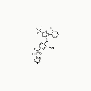 N#Cc1cc(S(=O)(=O)Nc2ncns2)ccc1Oc1cc(C(F)(F)F)nn1-c1ccccc1F